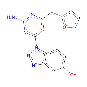 Nc1nc(Cc2ccco2)cc(-n2nnc3cc(O)ccc32)n1